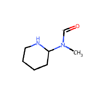 CN([C]=O)C1CCCCN1